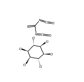 C=C(N=C=O)N=C=O.Cl[C@H]1[C@H](Cl)[C@@H](Cl)[C@@H](Cl)[C@H](Cl)[C@H]1Cl